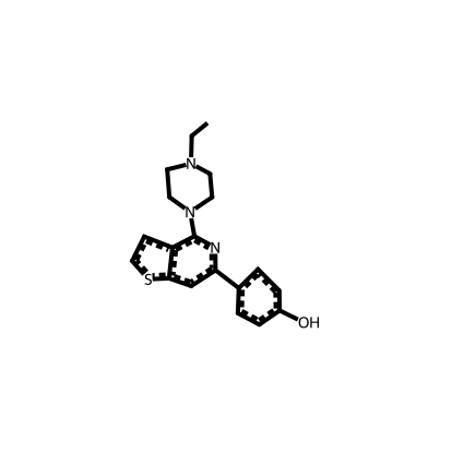 CCN1CCN(c2nc(-c3ccc(O)cc3)cc3sccc23)CC1